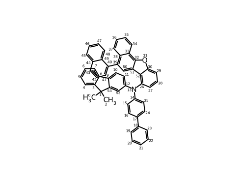 CC1(C)c2ccccc2-c2ccc(N(c3ccc(-c4ccccc4)cc3)c3cccc4oc5c6ccccc6c(-c6cccc7ccccc67)cc5c34)cc21